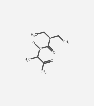 CCN(CC)C(=O)[S+]([O-])C(C)C(C)=O